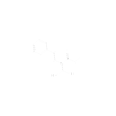 CC(C)N(CCc1ccccc1)C(=O)CF